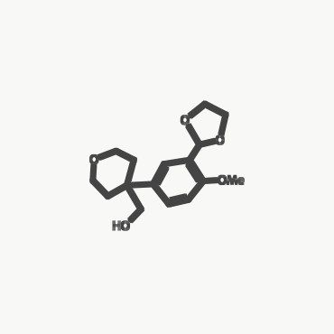 COc1ccc(C2(CO)CCOCC2)cc1C1OCCO1